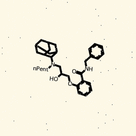 CCCCCN(CC(O)COc1ccccc1C(=O)NCc1ccccc1)C1C2CC3CC(C2)CC1C3